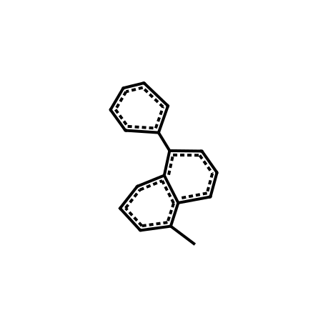 Cc1cccc2c(-c3ccccc3)cccc12